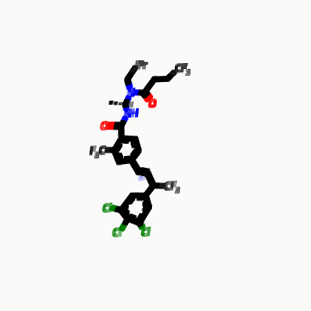 CC(C)CN(C(=O)CCC(F)(F)F)[C@@H](C)NC(=O)c1ccc(/C=C/C(c2cc(Cl)c(Cl)c(Cl)c2)C(F)(F)F)cc1C(F)(F)F